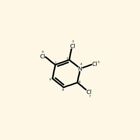 ClC1=C(Cl)N(Cl)C(Cl)C=C1